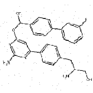 Nc1nc(OC(c2ccc(-c3cccc(F)c3)cc2)C(F)(F)F)cc(-c2ccc(CC(N)CO)cc2)n1